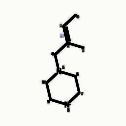 C/C=C(\C)CN1CC[N]CC1